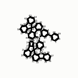 c1ccc(-c2cccc(N(c3ccc4c(c3)C3(c5ccccc5-c5ccccc53)c3cccc5c6ccccc6n-4c35)c3cccc4c3-c3ccccc3C43c4ccccc4-c4ccccc43)c2)cc1